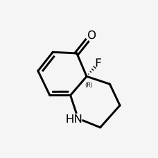 O=C1C=CC=C2NCCC[C@]12F